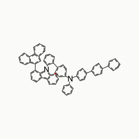 c1ccc(-c2ccc(-c3ccc(N(c4ccccc4)c4ccc(-c5ccccc5-n5c6ccccc6c6cccc(-c7cc8ccccc8c8ccccc78)c65)cc4)cc3)cc2)cc1